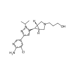 CC(C)n1nc(-c2cnc(N)c(Cl)c2)cc1[C@H]1[C@@H]2CN(CCCO)C[C@@H]21